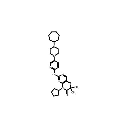 CC1(C)Sc2cnc(Nc3ccc(N4CCN(C5CCCCCC5)CC4)cn3)nc2N(C2CCCC2)C1=O